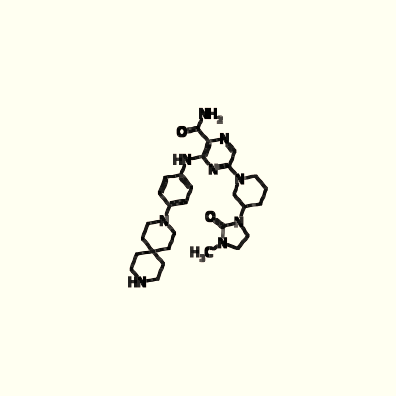 CN1CCN(C2CCCN(c3cnc(C(N)=O)c(Nc4ccc(N5CCC6(CCNCC6)CC5)cc4)n3)C2)C1=O